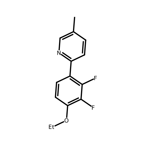 CCOc1ccc(-c2ccc(C)cn2)c(F)c1F